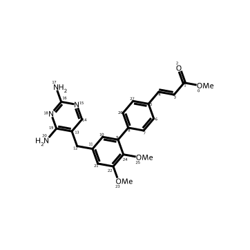 COC(=O)C=Cc1ccc(-c2cc(Cc3cnc(N)nc3N)cc(OC)c2OC)cc1